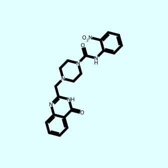 O=C(Nc1ccccc1[N+](=O)[O-])N1CCN(Cc2nc3ccccc3c(=O)[nH]2)CC1